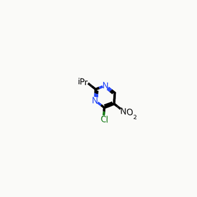 CC(C)c1ncc([N+](=O)[O-])c(Cl)n1